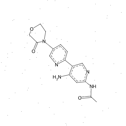 CC(=O)Nc1cc(N)c(-c2ccc(N3CCOCC3=O)cn2)cn1